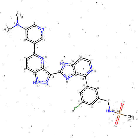 CN(C)c1cncc(-c2ccc3[nH]nc(-c4nc5c(-c6cc(F)cc(CNS(C)(=O)=O)c6)nccc5[nH]4)c3n2)c1